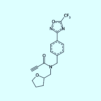 C#CC(=O)N(Cc1ccc(-c2noc(C(F)(F)F)n2)cc1)CC1CCCO1